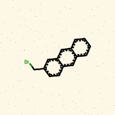 BrCc1ccc2cc3ccccc3cc2c1